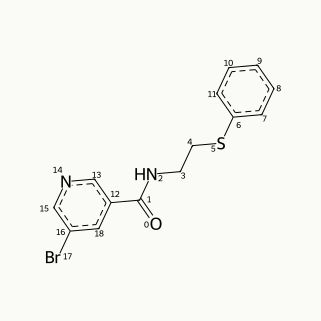 O=C(NCCSc1ccccc1)c1cncc(Br)c1